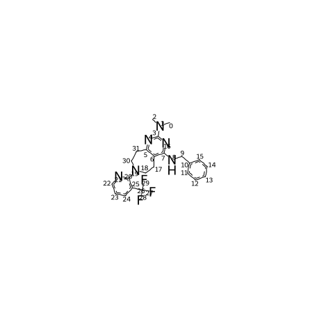 CN(C)c1nc2c(c(NCc3ccccc3)n1)CCN(c1ncccc1C(F)(F)F)CC2